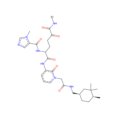 CCNC(=O)C(=O)CCC(NC(=O)c1cncn1C)C(=O)Nc1cccn(CC(=O)NC[C@@H]2CC[C@H](C)C(C)(C)C2)c1=O